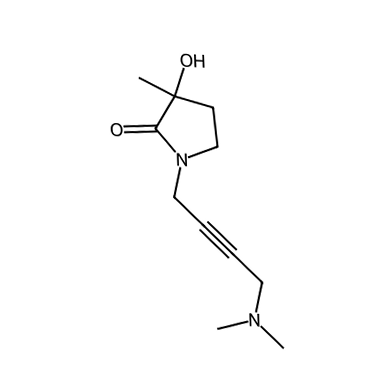 CN(C)CC#CCN1CCC(C)(O)C1=O